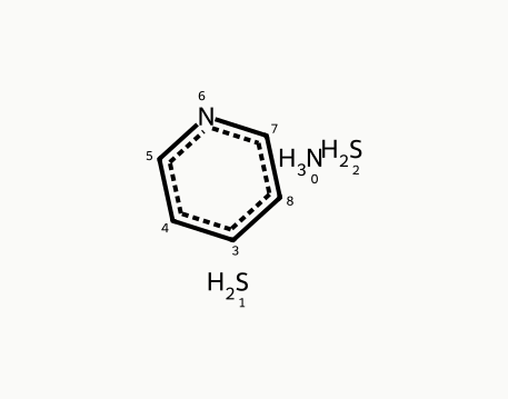 N.S.S.c1ccncc1